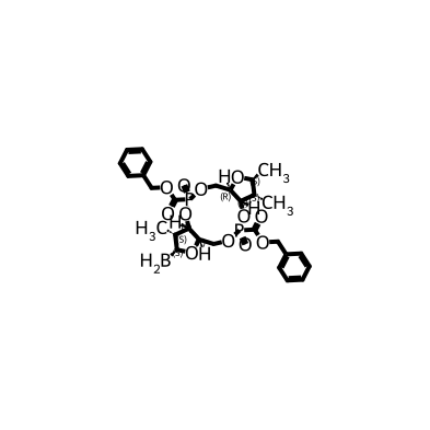 B[C@@H]1O[C@@H]2COP(=O)(C(=O)OCc3ccccc3)O[C@H]3[C@@H](C)[C@H](C)O[C@@H]3COP(=O)(C(=O)OCc3ccccc3)O[C@H]2[C@H]1C